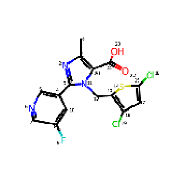 Cc1nc(-c2cncc(F)c2)n(Cc2sc(Cl)cc2Cl)c1C(=O)O